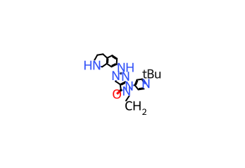 C=CCn1c(=O)c2cnc(Nc3ccc4c(c3)CNCCC4)nc2n1-c1ccnc(C(C)(C)C)c1